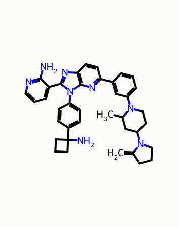 C=C1CCCN1C1CCN(c2cccc(-c3ccc4nc(-c5cccnc5N)n(-c5ccc(C6(N)CCC6)cc5)c4n3)c2)C(C)C1